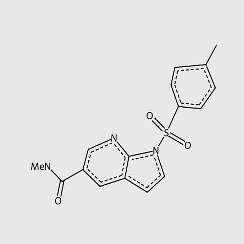 CNC(=O)c1cnc2c(ccn2S(=O)(=O)c2ccc(C)cc2)c1